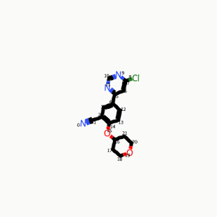 N#Cc1cc(-c2cc(Cl)ncn2)ccc1OC1CCOCC1